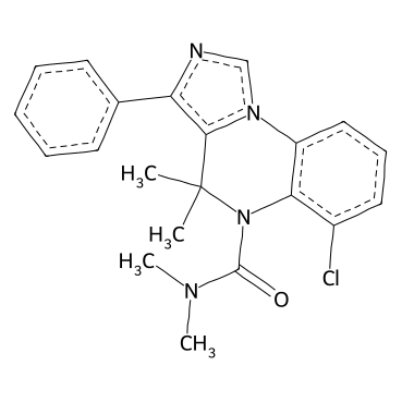 CN(C)C(=O)N1c2c(Cl)cccc2-n2cnc(-c3ccccc3)c2C1(C)C